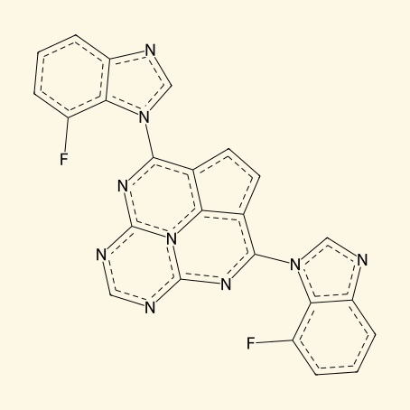 Fc1cccc2ncn(-c3nc4ncnc5nc(-n6cnc7cccc(F)c76)c6ccc3c6n45)c12